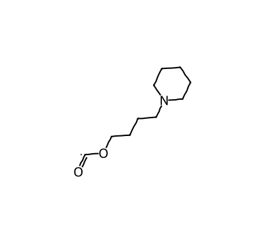 O=[C]OCCCCN1CCCCC1